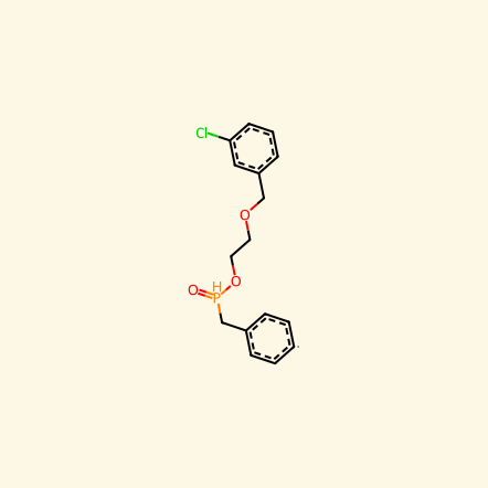 O=[PH](Cc1cc[c]cc1)OCCOCc1cccc(Cl)c1